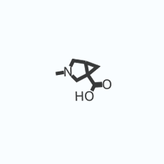 CN1CC2CC2(C(=O)O)C1